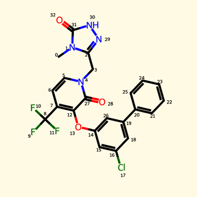 Cn1c(Cn2ccc(C(F)(F)F)c(Oc3cc(Cl)cc(-c4ccccc4)c3)c2=O)n[nH]c1=O